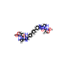 COC(=O)NC(C(=O)N1CCCC1c1nc2ccc(-c3ccc(-c4ccc(-c5cnc(C6C7CCC(C7)N6C(=O)C(NC(=O)OC)C(C)C)[nH]5)cc4)cc3)cc2[nH]1)C(C)C